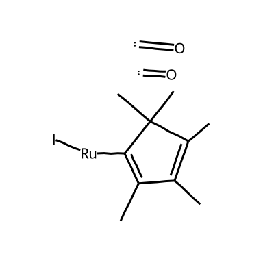 CC1=C(C)C(C)(C)[C]([Ru][I])=C1C.[C]=O.[C]=O